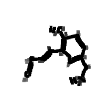 Cc1ccc(CN)cc1/C=C/P=O